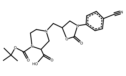 CC(C)(C)OC(=O)N1CCN(CC2CN(c3ccc(C#N)cc3)C(=O)O2)CC1C(=O)O